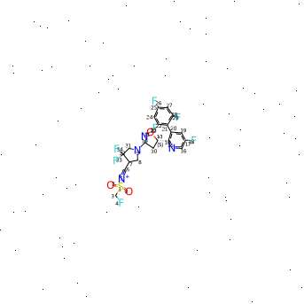 O=S(=O)(CF)[N+]#CC1CN(C2=NO[C@H](c3ncc(F)cc3-c3c(F)cc(F)cc3F)C2)CC1(F)F